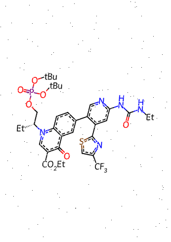 CCNC(=O)Nc1cc(-c2nc(C(F)(F)F)cs2)c(-c2ccc3c(c2)c(=O)c(C(=O)OCC)cn3[C@H](CC)COP(=O)(OC(C)(C)C)OC(C)(C)C)cn1